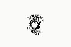 CCn1c(-c2cccnc2[C@H](C)OC)c2c3cc(ccc31)-c1cc(O)cc(c1)C[C@H](NC(=O)C(C(C)C)N(C)C(=O)[C@@H]1CC[C@@H]1N)C(=O)N1CCC[C@H](N1)C(=O)OCC(C)(C)C2